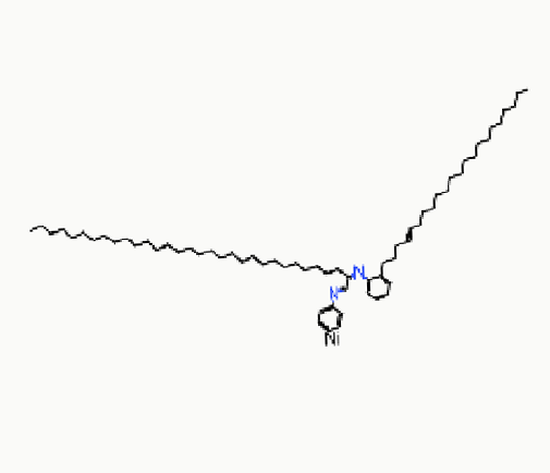 CCCCCCCCCCCCCCCCCC=CCCCc1ccccc1N=C(C=Nc1ccccc1)CCCCCCCCCCCCCCCCCCCCCCCCCCCCCC.[Ni]